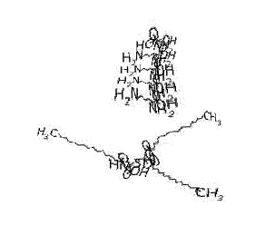 CCCCCCCCCCCCCCCC(=O)N[C@@H](CSCC(COC(=O)CCCCCCCCCCCCCCC)OC(=O)CCCCCCCCCCCCCCC)C(=O)O.NCCCC[C@H](N)C(=O)O.NCCCC[C@H](N)C(=O)O.NCCCC[C@H](N)C(=O)O.NCCCC[C@H](N)C(=O)O.N[C@@H](CO)C(=O)O